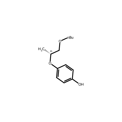 CCCCOC[C@@H](C)Oc1ccc(O)cc1